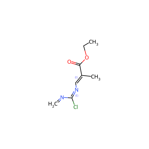 C=N/C(Cl)=N\C=C(/C)C(=O)OCC